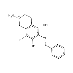 Cl.N[C@@H]1CCc2cc(OCc3ccccc3)c(Br)c(F)c2C1